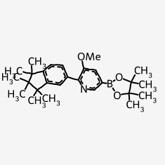 COc1cc(B2OC(C)(C)C(C)(C)O2)cnc1-c1ccc2c(c1)C(C)(C)C(C)(C)C2(C)C